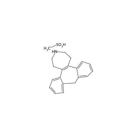 CS(=O)(=O)O.c1ccc2c(c1)Cc1ccccc1C1=C2CCNCC1